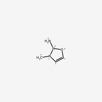 CN1C=CON1N